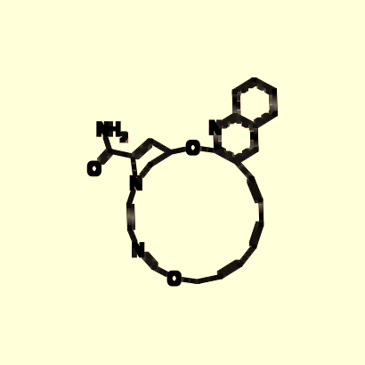 NC(=O)C1=CC2CN1C=CN=COCC=CC=CC=Cc1cc3ccccc3nc1O2